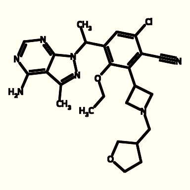 CCOc1c(C(C)n2nc(C)c3c(N)ncnc32)cc(Cl)c(C#N)c1C1CN(CC2CCOC2)C1